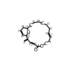 C=C1/C=C/C(=O)OCC/C=C/CCCCCCC2CC=CC1O2